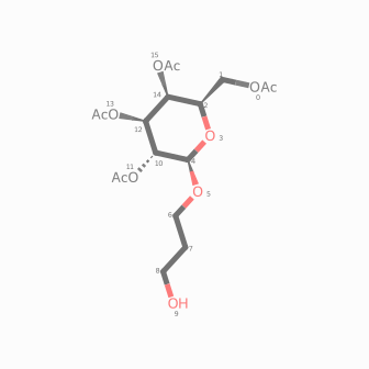 CC(=O)OC[C@H]1O[C@@H](OCCCO)[C@H](OC(C)=O)[C@@H](OC(C)=O)[C@H]1OC(C)=O